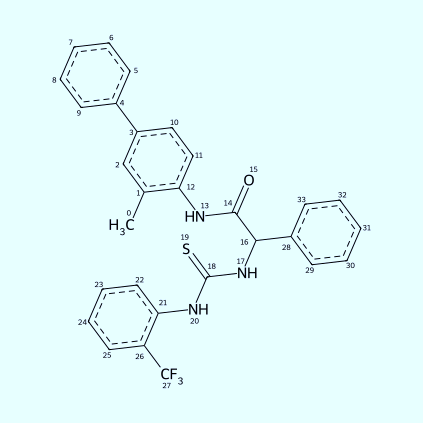 Cc1cc(-c2ccccc2)ccc1NC(=O)C(NC(=S)Nc1ccccc1C(F)(F)F)c1ccccc1